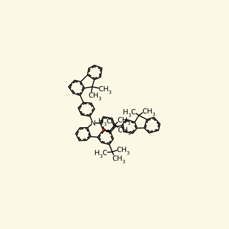 CC(C)(C)c1cc(-c2ccccc2N(c2ccc(-c3ccc4c(c3)C(C)(C)c3ccccc3-4)cc2)c2ccc(-c3cccc4c3C(C)(C)c3ccccc3-4)cc2)cc(C(C)(C)C)c1